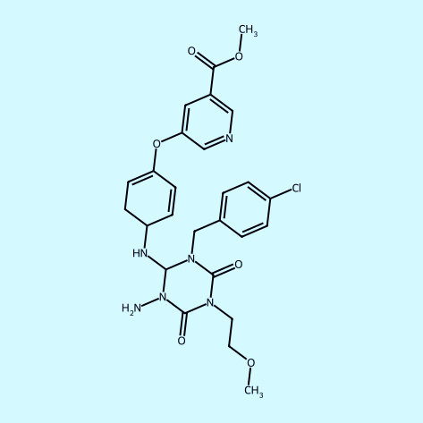 COCCN1C(=O)N(N)C(NC2C=CC(Oc3cncc(C(=O)OC)c3)=CC2)N(Cc2ccc(Cl)cc2)C1=O